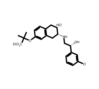 CCOC(=O)C(C)(C)Oc1ccc2c(c1)C[C@@H](NC[C@H](O)c1cccc(Cl)c1)CC2.Cl